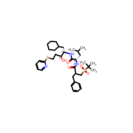 CC(C)C[C@H](NC(=O)C(Cc1ccccc1)CS(=O)(=O)C(C)(C)C)C(=O)N[C@@H](CC1CCCCC1)[C@@H](O)CCSc1ccccn1